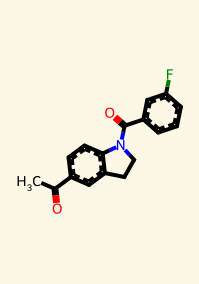 CC(=O)c1ccc2c(c1)CCN2C(=O)c1cccc(F)c1